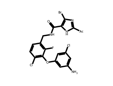 CC(=O)c1nc(Br)c(C(=O)NCc2ccc(Cl)c(Oc3cc(N)cc(Cl)c3)c2F)[nH]1